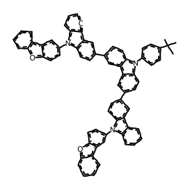 CC(C)(C)c1ccc(-n2c3ccc(-c4ccc5c(c4)c4ccccc4n5-c4ccc5oc6ccccc6c5c4)cc3c3cc(-c4ccc5c(c4)c4ccccc4n5-c4ccc5oc6ccccc6c5c4)ccc32)cc1